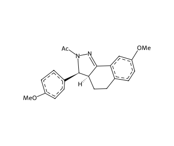 COc1ccc([C@@H]2[C@@H]3CCc4ccc(OC)cc4C3=NN2C(C)=O)cc1